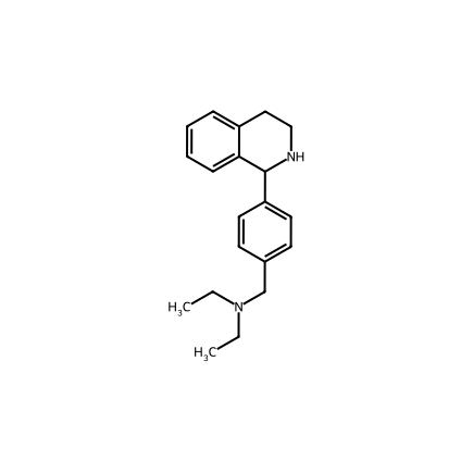 CCN(CC)Cc1ccc(C2NCCc3ccccc32)cc1